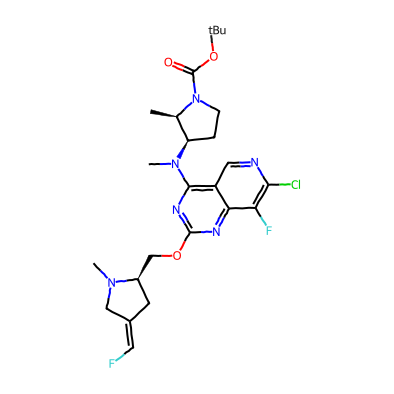 C[C@@H]1[C@H](N(C)c2nc(OC[C@H]3C/C(=C/F)CN3C)nc3c(F)c(Cl)ncc23)CCN1C(=O)OC(C)(C)C